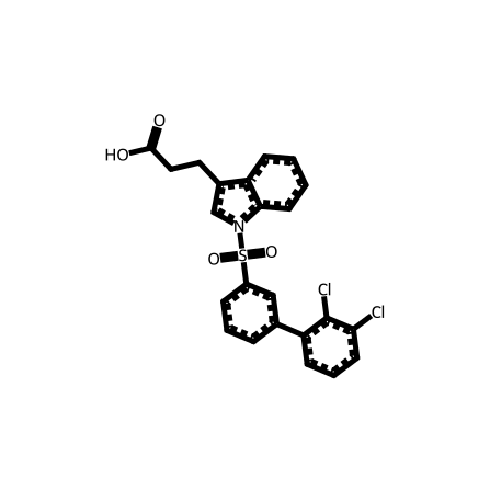 O=C(O)CCc1cn(S(=O)(=O)c2cccc(-c3cccc(Cl)c3Cl)c2)c2ccccc12